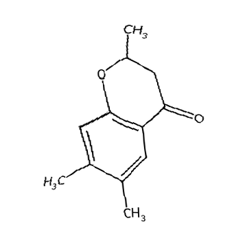 Cc1cc2c(cc1C)C(=O)CC(C)O2